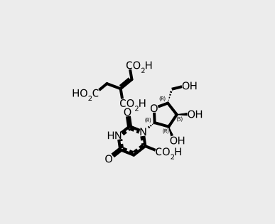 O=C(O)C=C(CC(=O)O)C(=O)O.O=C(O)c1cc(=O)[nH]c(=O)n1[C@@H]1O[C@H](CO)[C@@H](O)[C@H]1O